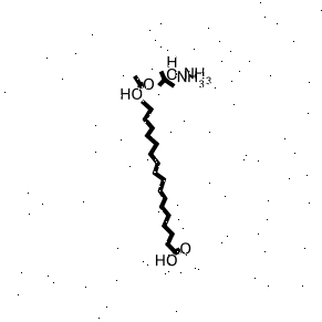 CC(=O)O.CC(C)(C)O.CCCCCCCCCCCCCCCCCC(=O)O.N.N